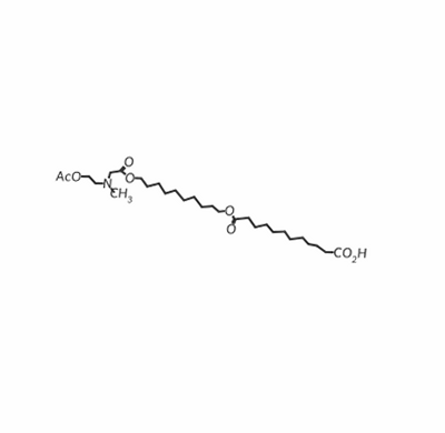 CC(=O)OCCN(C)CC(=O)OCCCCCCCCCCOC(=O)CCCCCCCCCCC(=O)O